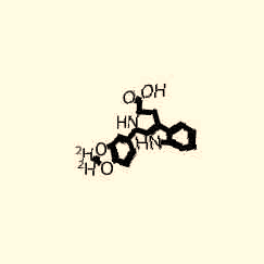 [2H]C1([2H])Oc2ccc(C3NC(C(=O)O)Cc4c3[nH]c3ccccc43)cc2O1